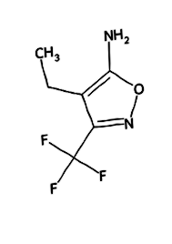 CCc1c(C(F)(F)F)noc1N